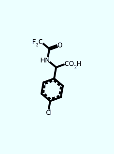 O=C(O)C(NC(=O)C(F)(F)F)c1ccc(Cl)cc1